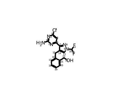 Nc1nc(Cl)cc(-c2nn(C(F)F)cc2Cc2ccccc2CO)n1